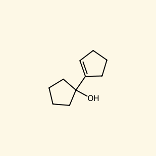 OC1(C2=CCCC2)CCCC1